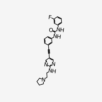 O=C(Nc1cccc(F)c1)Nc1cccc(C#Cc2cnc(NCCN3CCCC3)nc2)c1